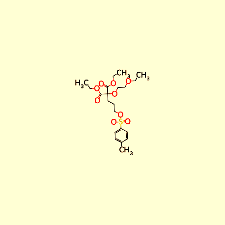 CCOCCOC(CCCOS(=O)(=O)c1ccc(C)cc1)(C(=O)OCC)C(=O)OCC